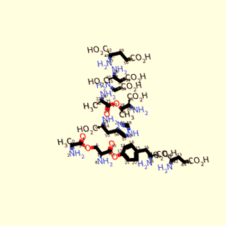 C[C@H](N)C(=O)OC[C@H](N)C(=O)Oc1ccc(C[C@H](N)C(=O)O)cc1.C[C@H](N)C(=O)O[C@H](C)[C@H](N)C(=O)O.NCC(=O)O.N[C@@H](CC(=O)O)C(=O)O.N[C@@H](CCC(=O)O)C(=O)O.N[C@@H](CCC(=O)O)C(=O)O.N[C@@H](Cc1c[nH]cn1)C(=O)O